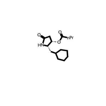 CCCC(=O)O[C@H]1CC(=O)N[C@H]1CC1CCCCC1